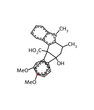 COc1ccc(C2(C(=O)O)c3c(n(C)c4ccccc34)C(C)CC2(O)c2ccccc2)cc1OC